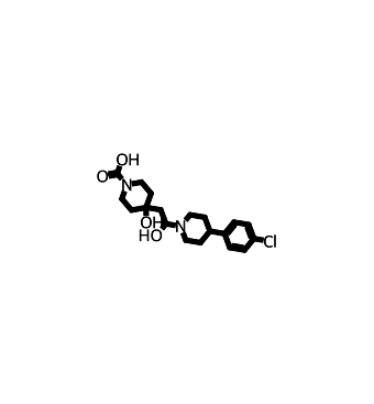 O=C(O)N1CCC(O)(CC(O)N2CCC(c3ccc(Cl)cc3)CC2)CC1